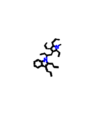 C=C/C=c1\c(=C/C=C)n(/C(C=C)=C/c2c(/C=C\C)c(/C=C\C)n(C)c2C=C)c2ccccc12